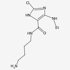 CCNc1nc(Cl)[nH]c1C(=O)NCCCCN